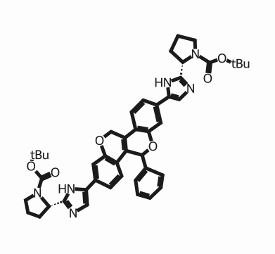 CC(C)(C)OC(=O)N1CCC[C@H]1c1ncc(-c2ccc3c(c2)OC(c2ccccc2)C2=C3COc3cc(-c4cnc([C@@H]5CCCN5C(=O)OC(C)(C)C)[nH]4)ccc32)[nH]1